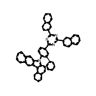 c1ccc(-c2cc(-c3nc(-c4ccc5ccccc5c4)nc(-c4ccc5ccccc5c4)n3)ccc2-n2c3cc4ccccc4cc3c3c4ccccc4ccc32)cc1